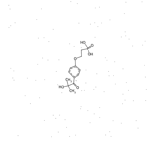 CC(C)(O)C(=O)c1ccc(OCCP(=O)(O)O)cc1